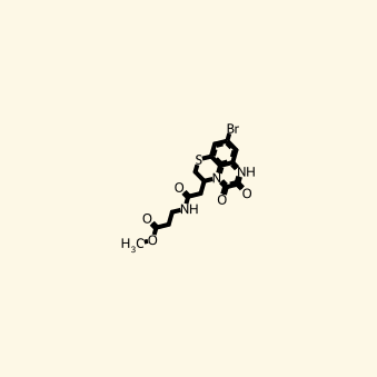 COC(=O)CCNC(=O)CC1CSc2cc(Br)cc3[nH]c(=O)c(=O)n1c23